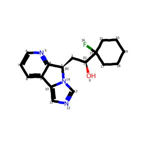 O[C@@H](C[C@@H]1c2ncccc2-c2cncn21)C1(F)CCCCC1